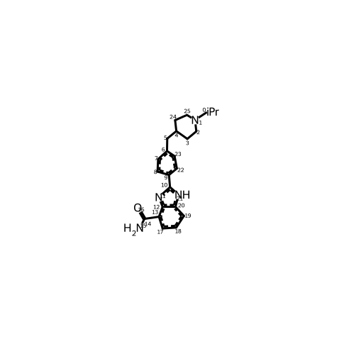 CC(C)N1CCC(Cc2ccc(-c3nc4c(C(N)=O)cccc4[nH]3)cc2)CC1